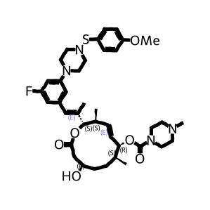 COc1ccc(SN2CCN(c3cc(F)cc(/C=C(\C)[C@H]4OC(=O)C[C@H](O)CC[C@H](C)[C@@H](OC(=O)N5CCN(C)CC5)/C=C/[C@@H]4C)c3)CC2)cc1